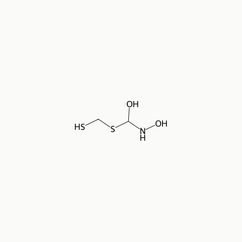 ONC(O)SCS